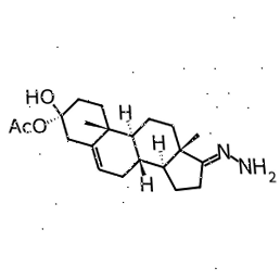 CC(=O)O[C@]1(O)CC[C@@]2(C)C(=CC[C@@H]3[C@@H]2CC[C@]2(C)C(=NN)CC[C@@H]32)C1